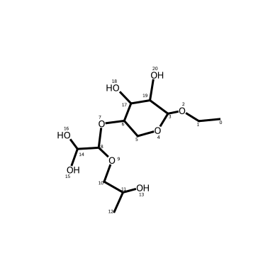 CCOC1OCC(OC(OCC(C)O)C(O)O)C(O)C1O